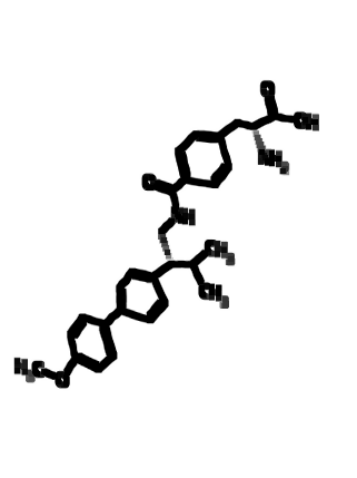 COc1ccc(-c2ccc([C@H](CNC(=O)c3ccc(C[C@@H](N)C(=O)O)cc3)C(C)C)cc2)cc1